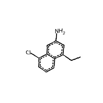 CCc1cc(N)cc2c(Cl)cccc12